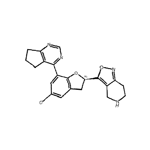 Clc1cc2c(c(-c3ncnc4c3CCC4)c1)O[C@@H](c1onc3c1CNCC3)C2